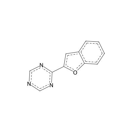 c1ccc2oc(-c3ncncn3)cc2c1